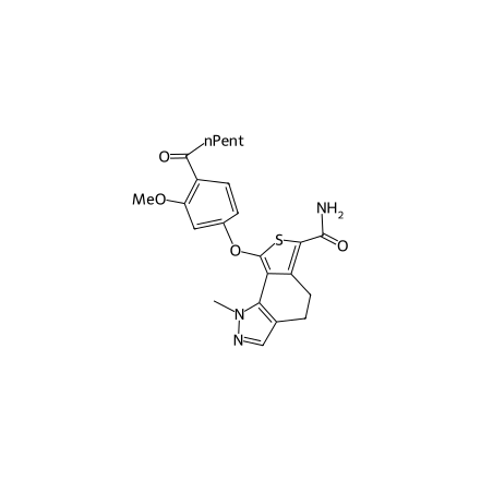 CCCCCC(=O)c1ccc(Oc2sc(C(N)=O)c3c2-c2c(cnn2C)CC3)cc1OC